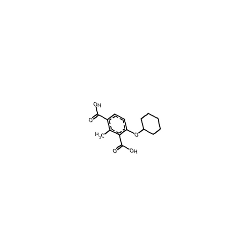 Cc1c(C(=O)O)ccc(OC2CCCCC2)c1C(=O)O